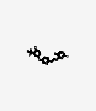 Fc1cnc(Cl)nc1OCCc1ccc(Oc2ccc(Cl)c(C(F)(F)F)c2)cn1